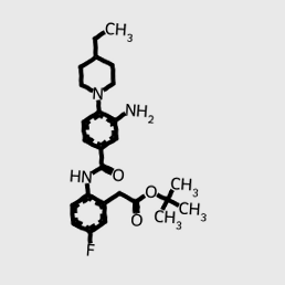 CCC1CCN(c2ccc(C(=O)Nc3ccc(F)cc3CC(=O)OC(C)(C)C)cc2N)CC1